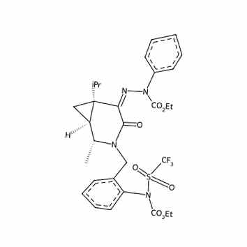 CCOC(=O)N(/N=C1\C(=O)N(Cc2ccccc2N(C(=O)OCC)S(=O)(=O)C(F)(F)F)[C@H](C)[C@H]2C[C@@]12C(C)C)c1ccccc1